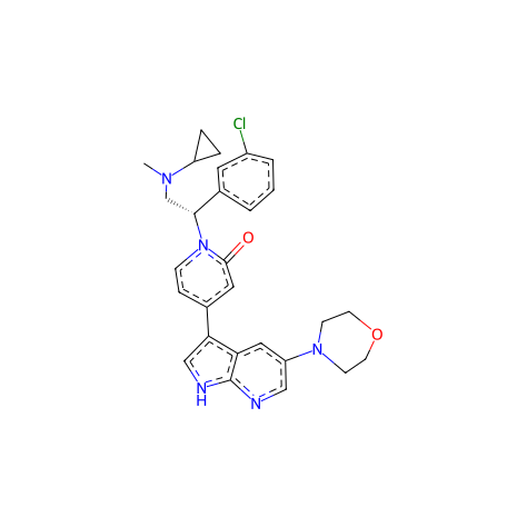 CN(C[C@H](c1cccc(Cl)c1)n1ccc(-c2c[nH]c3ncc(N4CCOCC4)cc23)cc1=O)C1CC1